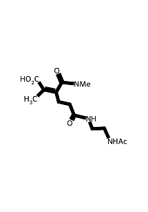 CNC(=O)/C(CCC(=O)NCCNC(C)=O)=C(/C)C(=O)O